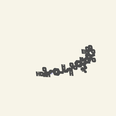 CC[C@@]1(O)C(=O)OCc2c1cc1n(c2=O)Cc2c-1nc1ccc(OC(=O)NCCNCc3ccc(/C=C/C(=O)NO)cc3)cc1c2CN(C)C